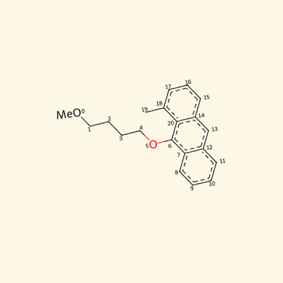 COCCCCOc1c2ccccc2cc2cccc(C)c12